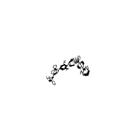 CC(=O)NC[C@H]1CN(c2cc(F)c(N3CCNN(C(=O)N4CCN(c5ncccn5)CC4)CC3)c(F)c2)C(=O)O1